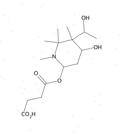 CC(O)C1(C)C(O)CC(OC(=O)CCC(=O)O)N(C)C1(C)C